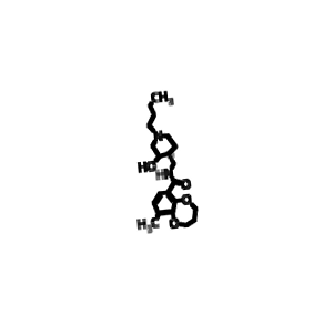 CCCCN1CC[C@@H](CNC(=O)c2ccc(C)c3c2OCCCO3)C(O)C1